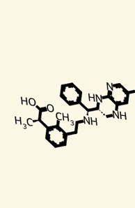 Cc1c(CCN[C@H](c2ccccc2)[C@H]2CNc3cc(F)cnc3N2)cccc1[C@@H](C)C(=O)O